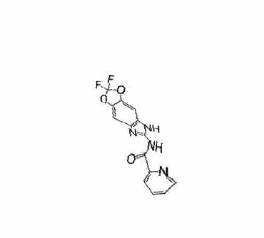 O=C(Nc1nc2cc3c(cc2[nH]1)OC(F)(F)O3)c1ccccn1